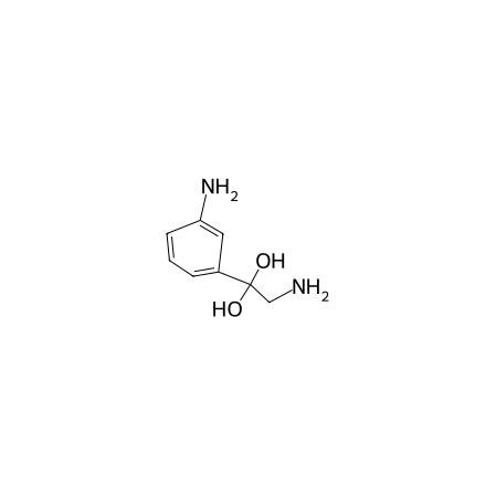 NCC(O)(O)c1cccc(N)c1